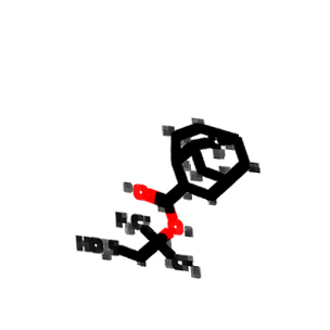 O=C(OC(CS(=O)(=O)O)(C(F)(F)F)C(F)(F)F)C1CC2CC3CCC1C(C3)C2